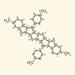 Cc1ccc(-n2c3c4ccc(C)cc4oc3c3sc4c(sc5c6oc7cc(C)ccc7c6n(-c6ccc(C)cc6)c54)c32)cc1